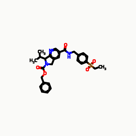 CCS(=O)(=O)c1ccc(CNC(=O)c2cnc3c(c2)CN(C(=O)OCc2ccccc2)C3C(C)C)cc1